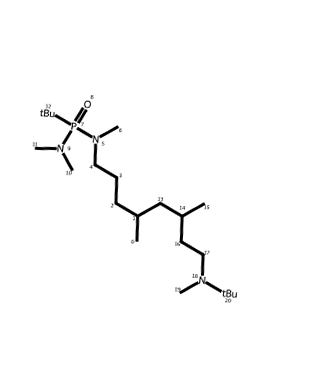 CC(CCCN(C)P(=O)(N(C)C)C(C)(C)C)CC(C)CCN(C)C(C)(C)C